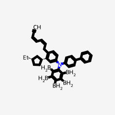 Bc1c(B)c(B)c(N(c2ccc(-c3ccccc3)cc2)c2ccc(C/C=C\C=C/C#C)c([C@@H]3CC[C@H](CC)C3)c2)c(B)c1B